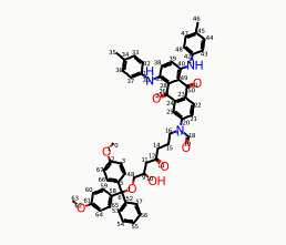 COc1ccc(C(OCC(O)CC(=O)CCCN(C=O)c2ccc3c(c2)C(=O)c2c(Nc4ccc(C)cc4)ccc(Nc4ccc(C)cc4)c2C3=O)(c2ccccc2)c2ccc(OC)cc2)cc1